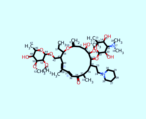 C=C1CC(O)C(OC)C(OC2OC(C)C(O)C(N(C)C)C2O)C(CCN2CCCCC2)CC(C)C(=O)/C=C/C(C)=C/C(COC2OC(C)C(O)C(OC)C2OC)C(CC)O1